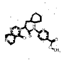 COC(=O)c1ccc(NC(=O)C(CC2CCCCC2)n2cnc3cnccc3c2=O)nc1